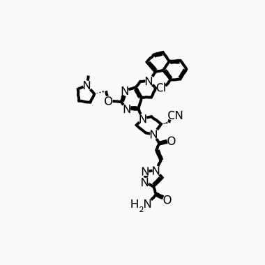 CN1CCC[C@H]1COc1nc2c(c(N3CCN(C(=O)/C=C/n4cc(C(N)=O)nn4)[C@@H](CC#N)C3)n1)CCN(c1cccc3cccc(Cl)c13)C2